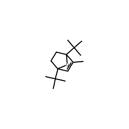 CC1=CC2(C(C)(C)C)CCC1(C(C)(C)C)O2